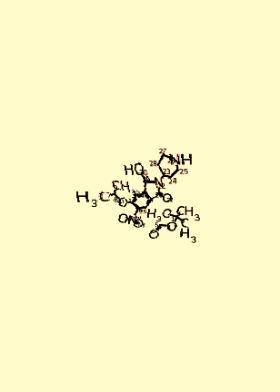 CC(C)(C)OC=O.CC(C)Oc1cc2c(cc1[N+](=O)[O-])C(=O)N(C1CCNCC1)C2O